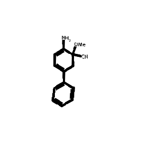 COC1(C#N)CC(c2ccccc2)=CC=C1N